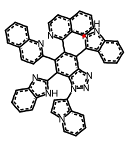 c1ccc2nc(-c3c(-c4nccc5ccccc45)c(-c4n[nH]c5ccccc45)c4nnn(-c5ccn6ccccc56)c4c3-c3nc4ccccc4[nH]3)ccc2c1